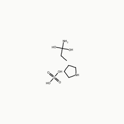 C1CCNC1.CCC(N)(O)O.O=S(=O)(O)O